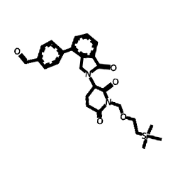 C[Si](C)(C)CCOCN1C(=O)CCC(N2Cc3c(cccc3-c3ccc(C=O)cc3)C2=O)C1=O